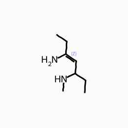 CC/C(N)=C/C(CC)NC